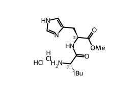 CCC(C)[C@H](N)C(=O)N[C@@H](Cc1c[nH]cn1)C(=O)OC.Cl.Cl